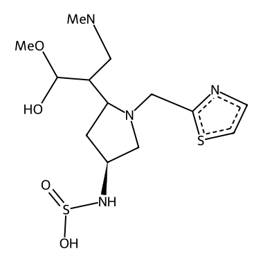 CNCC(C(O)OC)C1C[C@H](NS(=O)O)CN1Cc1nccs1